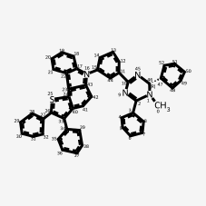 CN1C(c2ccccc2)=NC(c2cccc(-n3c4ccccc4c4c5sc(-c6ccccc6)c(-c6ccccc6)c5ccc43)c2)=N[C@@H]1c1ccccc1